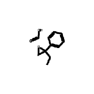 CCC1(c2ccccc2)CO1.O=CO